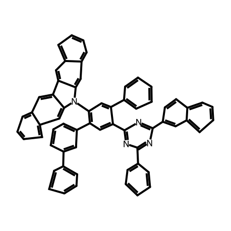 c1ccc(-c2cccc(-c3cc(-c4nc(-c5ccccc5)nc(-c5ccc6ccccc6c5)n4)c(-c4ccccc4)cc3-n3c4cc5ccccc5cc4c4cc5ccccc5cc43)c2)cc1